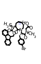 CN(CC(=O)O)C(=O)[C@H](Cc1ccc(Br)cc1)N1CC/C=C\C[C@H](N(C)C(=O)OCC2c3ccccc3-c3ccccc32)C1=O